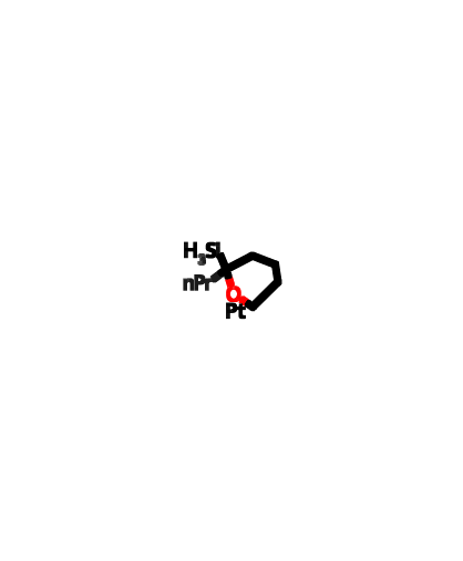 CCCC1([SiH3])CCCCO1.[Pt]